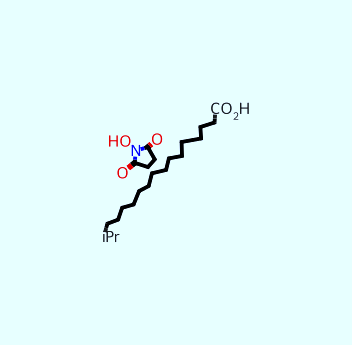 CC(C)CCCCCCCCCCCCCCC(=O)O.O=C1CCC(=O)N1O